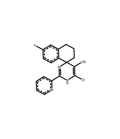 N#CC1=C(Cl)NC(c2ccccn2)=NC12CCCc1cc(F)ccc12